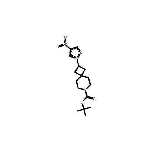 CC(C)(C)OC(=O)N1CCC2(CC1)CC(n1cc([N+](=O)[O-])cn1)C2